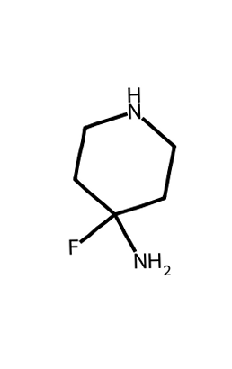 NC1(F)CCNCC1